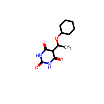 CC(OC1CCCCC1)C1C(=O)NC(=O)NC1=O